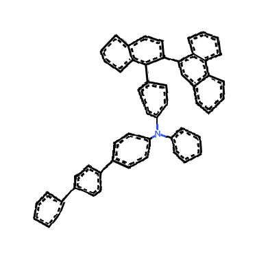 c1ccc(-c2ccc(-c3ccc(N(c4ccccc4)c4ccc(-c5c(-c6cc7ccccc7c7ccccc67)ccc6ccccc56)cc4)cc3)cc2)cc1